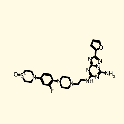 Nc1nc(NCCN2CCN(c3ccc(N4CC[S+]([O-])CC4)cc3F)CC2)nc2nc(-c3ccco3)nn12